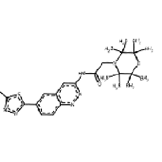 BC1(B)OC(B)(B)C(B)(B)N(CC(=O)Nc2cc3cc(-c4nnc(C)s4)ccc3nn2)C1(B)B